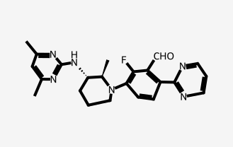 Cc1cc(C)nc(N[C@H]2CCCN(c3ccc(-c4ncccn4)c(C=O)c3F)[C@@H]2C)n1